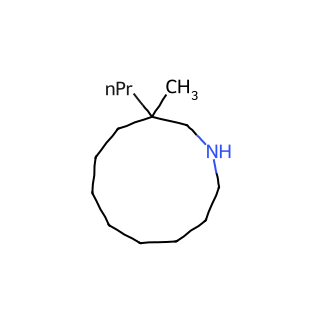 CCCC1(C)CCCCCCCCNC1